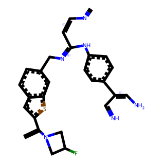 C=N/C=C\C(=N/Cc1ccc2cc(C(=C)N3CC(F)C3)sc2c1)Nc1ccc(/C(C=N)=C/N)cc1